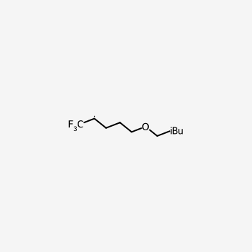 CCC(C)COCCC[CH]C(F)(F)F